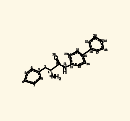 N[C@H](Cc1ccccc1)C(=O)Nc1ccc(-c2ccncc2)cn1